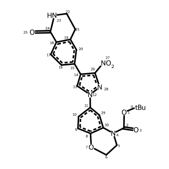 CC(C)(C)OC(=O)N1CCOc2ccc(-n3cc(-c4ccc5c(c4)CCNC5=O)c([N+](=O)[O-])n3)cc21